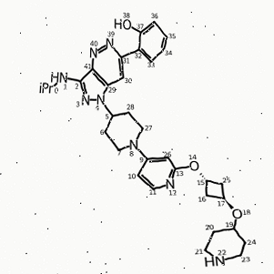 CC(C)Nc1nn(C2CCN(c3ccnc(O[C@H]4C[C@H](OC5CCNCC5)C4)c3)CC2)c2cc(-c3ccccc3O)nnc12